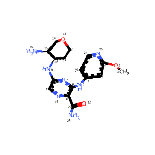 COc1cc(Nc2nc(N[C@@H]3CCOC[C@@H]3N)cnc2C(N)=O)ccn1